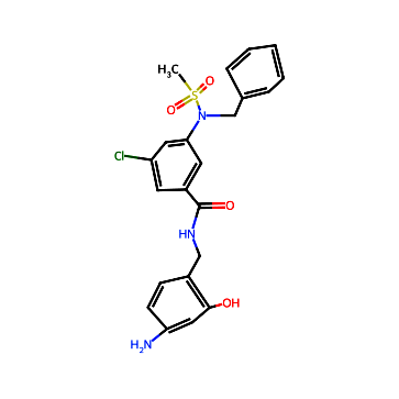 CS(=O)(=O)N(Cc1ccccc1)c1cc(Cl)cc(C(=O)NCc2ccc(N)cc2O)c1